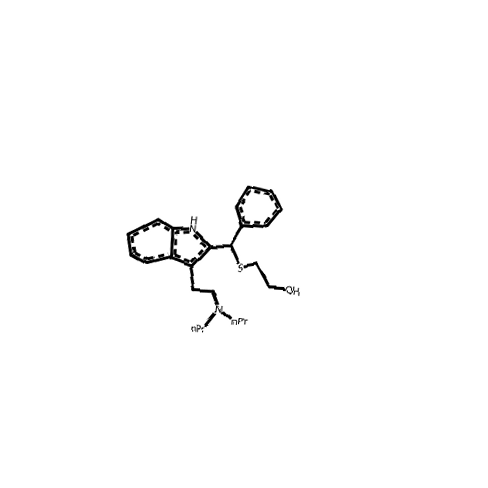 CCCN(CCC)CCc1c(C(SCCO)c2ccccc2)[nH]c2ccccc12